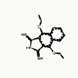 CCOc1c2c(c(OCC)c3ccccc13)C(=N)NC2=N